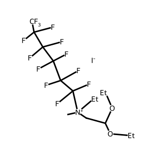 CCOC(C[N+](C)(CC)C(F)(F)C(F)(F)C(F)(F)C(F)(F)C(F)(F)C(F)(F)F)OCC.[I-]